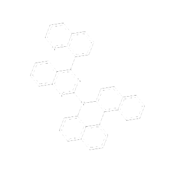 c1ccc2c3c(ccc2c1)N(c1nc(-c2cccc4cccnc24)c2ccccc2n1)c1cccc2cccc-3c12